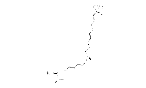 CCCCCCCCCC(CCCCCCC1CC1CCCCCCCCCC(=O)OC)N(C)C